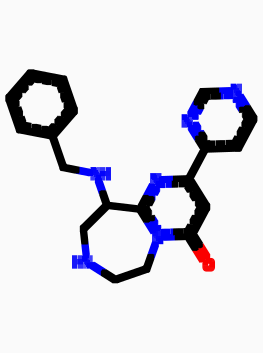 O=c1cc(-c2ccncn2)nc2n1CCNCC2NCc1ccccc1